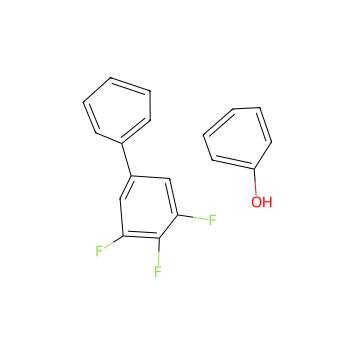 Fc1cc(-c2ccccc2)cc(F)c1F.Oc1ccccc1